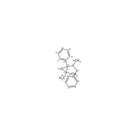 CC(Sc1ccccc1)C1(c2ccccc2)OC1(C)C